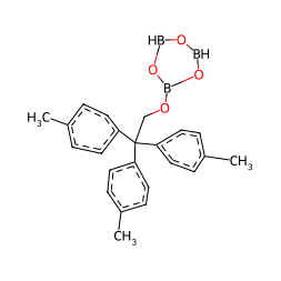 Cc1ccc(C(COB2OBOBO2)(c2ccc(C)cc2)c2ccc(C)cc2)cc1